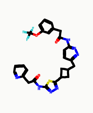 O=C(Cc1cccc(OC(F)(F)F)c1)Nc1ccc(CC2CC(c3nnc(NC(=O)Cc4ccccn4)s3)C2)nn1